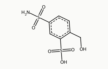 NS(=O)(=O)c1ccc(CO)c(S(=O)(=O)O)c1